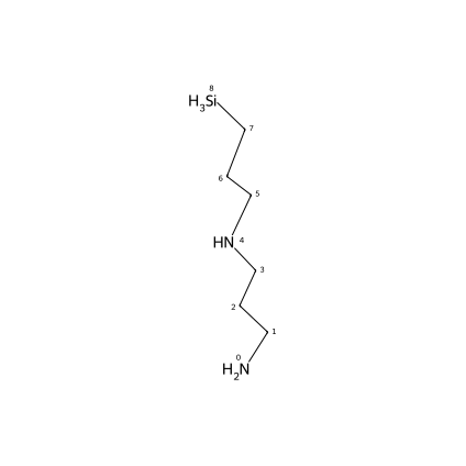 NCCCNCCC[SiH3]